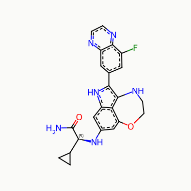 NC(=O)[C@@H](Nc1cc2c3c(c(-c4cc(F)c5nccnc5c4)[nH]c3c1)NCCO2)C1CC1